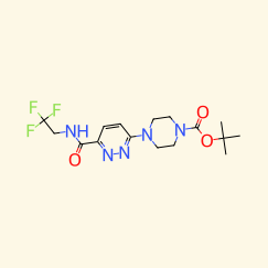 CC(C)(C)OC(=O)N1CCN(c2ccc(C(=O)NCC(F)(F)F)nn2)CC1